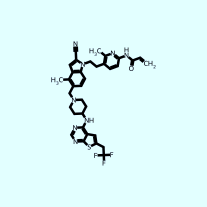 C=CC(=O)Nc1ccc(CCn2c(C#N)cc3c(C)c(CN4CCC(Nc5ncnc6sc(CC(F)(F)F)cc56)CC4)ccc32)c(C)n1